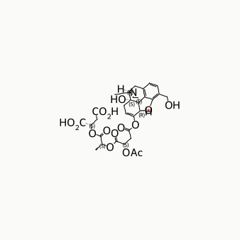 CC(=O)O[C@@H](CC(=O)OC1=CC[C@@]2(O)[C@H]3Cc4ccc(CO)c5c4[C@@]2(CCN3C)[C@H]1O5)C(=O)O[C@@H](C)C(=O)O[C@@H](CC(=O)O)C(=O)O